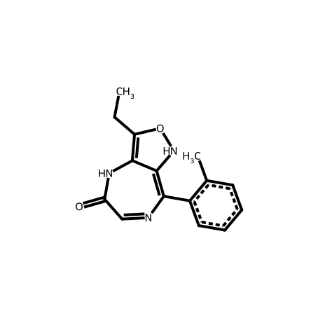 CCC1=C2NC(=O)C=NC(c3ccccc3C)=C2NO1